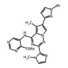 COc1ncncc1Nc1nc(-c2nccn2C)nn2cc(-c3ccn(C(C)C)n3)c(C)c12